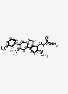 COc1ccc2c(c1OCC(N)=O)CCN1CC(c3cccc(C)c3)C(N)CC21